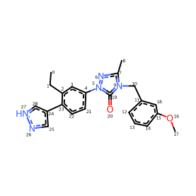 CCc1cc(-n2nc(C)n(Cc3cccc(OC)c3)c2=O)ccc1-c1cn[nH]c1